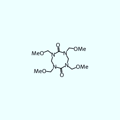 COCN1CN(COC)C(=O)N(COC)CN(COC)C1=O